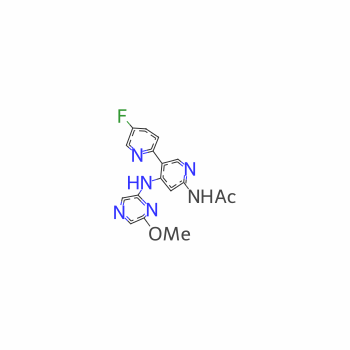 COc1cncc(Nc2cc(NC(C)=O)ncc2-c2ccc(F)cn2)n1